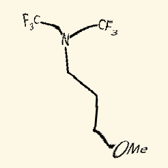 COCCCN(C(F)(F)F)C(F)(F)F